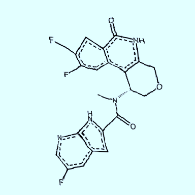 CN(C(=O)c1cc2cc(F)cnc2[nH]1)[C@H]1COCc2[nH]c(=O)c3cc(F)c(F)cc3c21